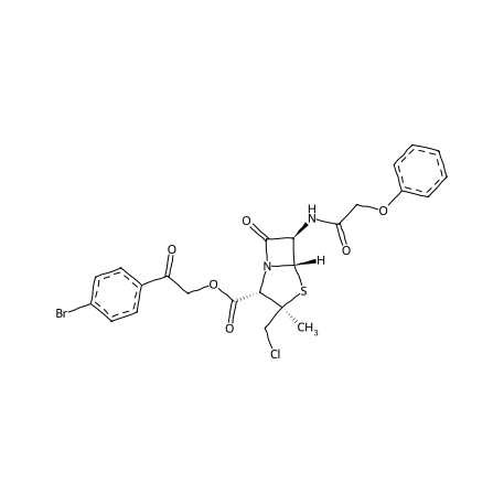 C[C@@]1(CCl)S[C@H]2[C@H](NC(=O)COc3ccccc3)C(=O)N2[C@H]1C(=O)OCC(=O)c1ccc(Br)cc1